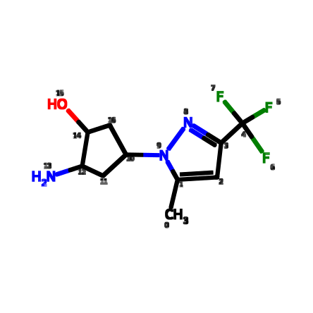 Cc1cc(C(F)(F)F)nn1C1CC(N)C(O)C1